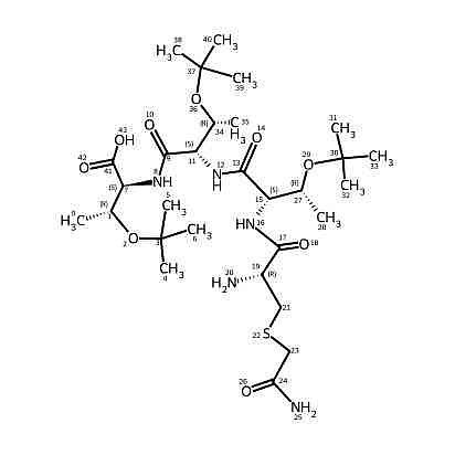 C[C@@H](OC(C)(C)C)[C@H](NC(=O)[C@@H](NC(=O)[C@@H](NC(=O)[C@@H](N)CSCC(N)=O)[C@@H](C)OC(C)(C)C)[C@@H](C)OC(C)(C)C)C(=O)O